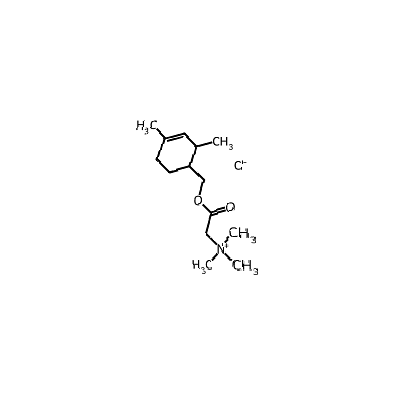 CC1=CC(C)C(COC(=O)C[N+](C)(C)C)CC1.[Cl-]